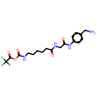 NCc1ccc(NC(=O)CNC(=O)CCCCCNC(=O)OC(=O)C(F)(F)F)cc1